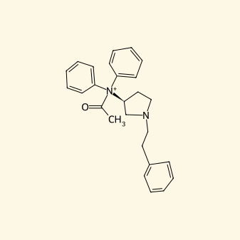 CC(=O)[N+](c1ccccc1)(c1ccccc1)[C@H]1CCN(CCc2ccccc2)C1